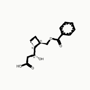 O=C(O)C[C@@H](O)[C@@H]1CC[C@H]1COC(=O)c1ccccc1